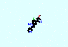 COc1cncc(-c2cc3cc(-c4cc[c]nc4)[nH]c3cc2Cl)c1